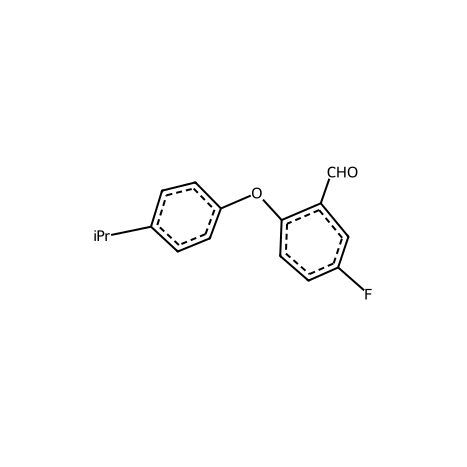 CC(C)c1ccc(Oc2ccc(F)cc2C=O)cc1